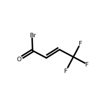 O=C(Br)C=CC(F)(F)F